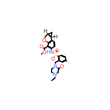 CCN1CCN(Cc2cc(F)ccc2S(=O)(=O)Nc2ccc3c(c2C(=O)OC)OC[C@@H]2C[C@H]32)C(=O)C1